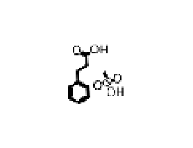 CS(=O)(=O)O.O=C(O)CCc1ccccc1